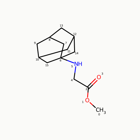 COC(=O)CNC12CC3CC(CC(C3)C1)C2